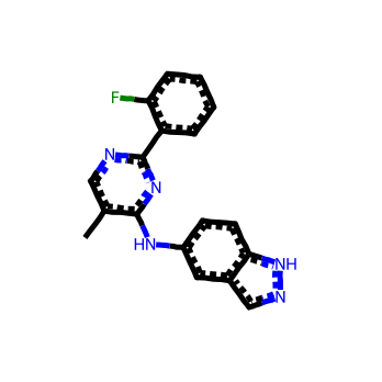 Cc1cnc(-c2ccccc2F)nc1Nc1ccc2[nH]ncc2c1